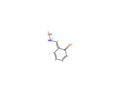 O=C1C=CC=C/C1=C\NO